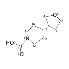 C1CCOC1.O=C(O)N1CCCCC1